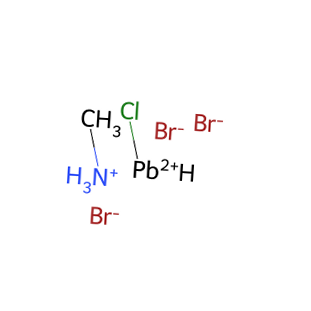 C[NH3+].[Br-].[Br-].[Br-].[Cl][PbH+2]